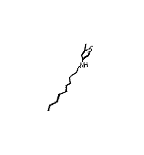 CCCCCCCCCCNc1csc(C)c1